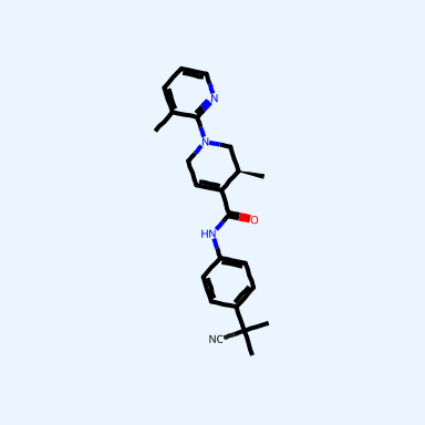 Cc1cccnc1N1CC=C(C(=O)Nc2ccc(C(C)(C)C#N)cc2)[C@H](C)C1